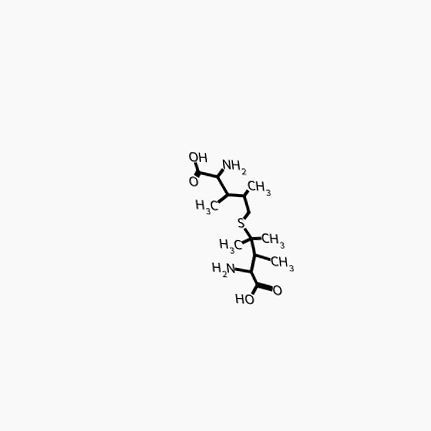 CC(CSC(C)(C)C(C)C(N)C(=O)O)C(C)C(N)C(=O)O